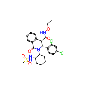 CCONC(=O)[C@@H]1c2ccccc2C(=O)N(C2CCCC[C@@H]2NS(C)(=O)=O)[C@H]1c1ccc(Cl)cc1Cl